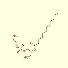 CCCCCCCCCCCCC(=O)O[C@@H](CO)COP(=O)([O-])OCC[N+](C)(C)C